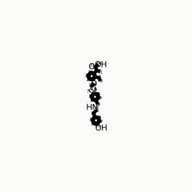 CCc1c(OC[Si](C)(C)c2ccc(CNCCc3ccc(O)cc3)cc2)cccc1C(C)C(=O)O